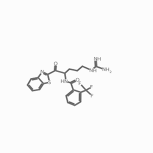 N=C(N)NCCCC(NC(=O)c1ccccc1C(F)(F)F)C(=O)c1nc2ccccc2s1